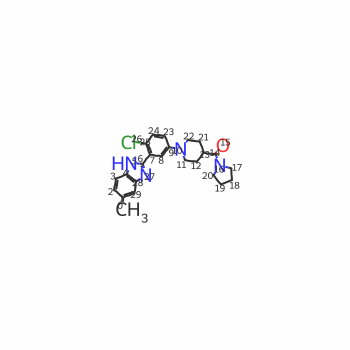 Cc1ccc2[nH]c(-c3cc(N4CCC(C(=O)N5CCCC5)CC4)ccc3Cl)nc2c1